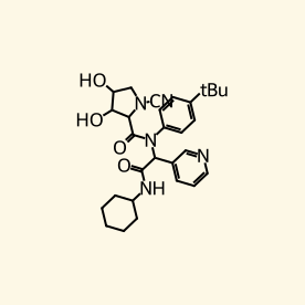 CC(C)(C)c1ccc(N(C(=O)C2C(O)C(O)CN2C#N)C(C(=O)NC2CCCCC2)c2cccnc2)cc1